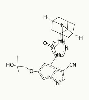 CC(C)C(=O)NC12CC3C[C@H](C1)N(c1ccc(-c4cc(OCC(C)(C)O)cn5ncc(C#N)c45)cn1)[C@@H](C3)C2